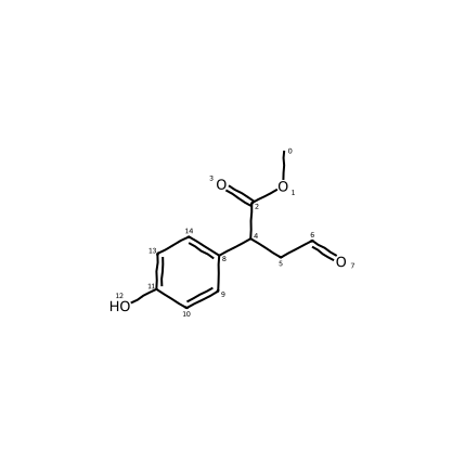 COC(=O)C(CC=O)c1ccc(O)cc1